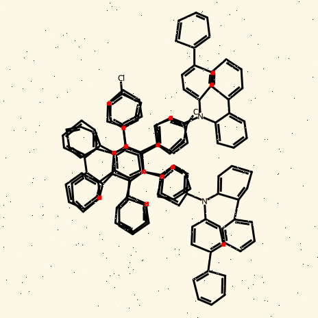 Clc1ccc(-c2c(-c3ccc(N(c4ccc(-c5ccccc5)cc4)c4ccccc4-c4ccccc4)cc3)c(-c3ccccc3)c(-c3ccccc3)c(-c3ccccc3-c3ccccc3-c3c(-c4ccccc4)c(-c4ccccc4)c(-c4ccc(N(c5ccc(-c6ccccc6)cc5)c5ccccc5-c5ccccc5)cc4)c(-c4ccc(Cl)cc4)c3-c3ccccc3)c2-c2ccccc2)cc1